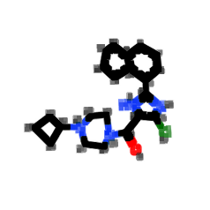 O=C(c1[nH]c(-c2cccc3ccccc23)nc1Cl)N1CCN(C2CCC2)CC1